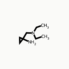 CCN(CC)CC1(N)CC1